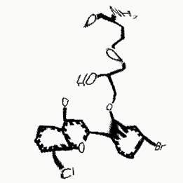 NC(=O)COCC(O)COc1cc(Br)ccc1-c1cc(=O)c2cccc(Cl)c2o1